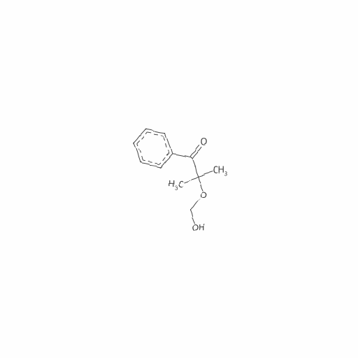 CC(C)(OCO)C(=O)c1ccccc1